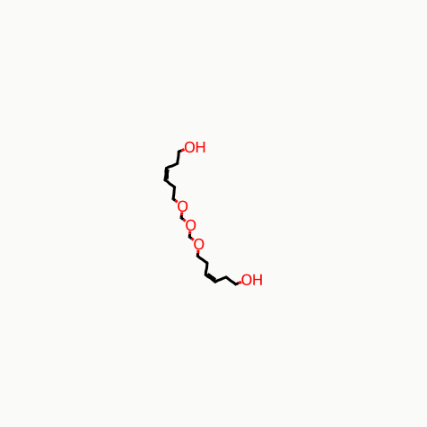 OCC/C=C\CCOCOCOCC/C=C\CCO